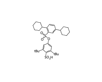 CC(C)(C)c1cc(OS(=O)(=O)c2cc(C3CCCCC3)ccc2C2CCCCC2)cc(C(C)(C)C)c1S(=O)(=O)O